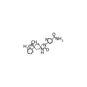 CN(C)[C@]1(c2ccccc2)CC[C@@]2(CC1)CN(c1ccc(C(N)=O)cn1)C(=O)N2